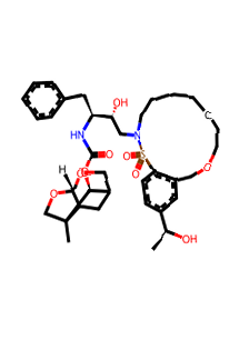 C[C@H](O)c1ccc2c(c1)COCCCCCCCN(C[C@@H](O)[C@H](Cc1ccccc1)NC(=O)O[C@H]1C3CO[C@H]4OCC1(C)C4C3)S2(=O)=O